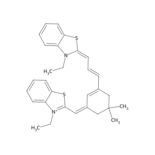 CCN1C(=CC=CC2=CC(=Cc3sc4ccccc4[n+]3CC)CC(C)(C)C2)Sc2ccccc21